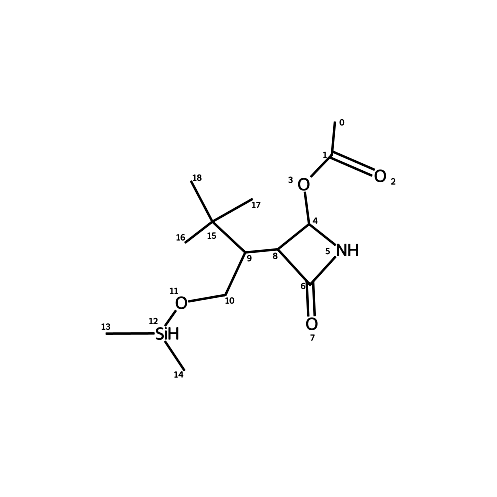 CC(=O)OC1NC(=O)C1C(CO[SiH](C)C)C(C)(C)C